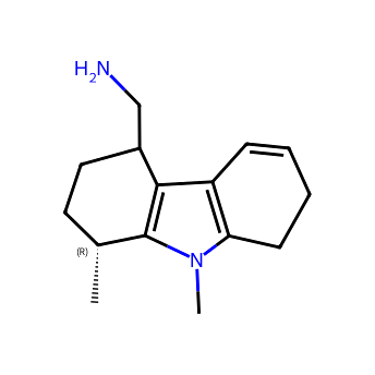 C[C@@H]1CCC(CN)c2c3c(n(C)c21)CCC=C3